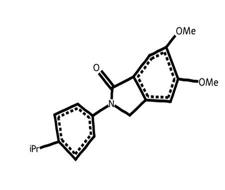 COc1cc2c(cc1OC)C(=O)N(c1ccc(C(C)C)cc1)C2